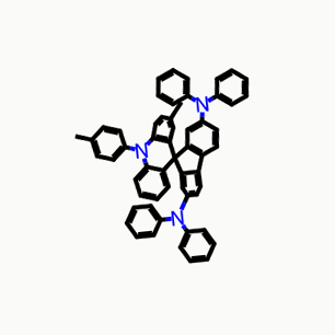 Cc1ccc(N2c3ccccc3C3(c4cc(N(c5ccccc5)c5ccccc5)ccc4-c4ccc(N(c5ccccc5)c5ccccc5)cc43)c3cc(C)ccc32)cc1